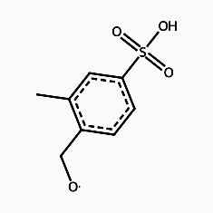 Cc1cc(S(=O)(=O)O)ccc1C[O]